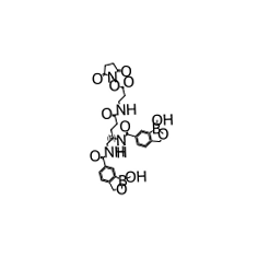 O=C(CC[C@H](CNC(=O)c1ccc2c(c1)B(O)OC2)NC(=O)c1ccc2c(c1)B(O)OC2)NCCC(=O)ON1C(=O)CCC1=O